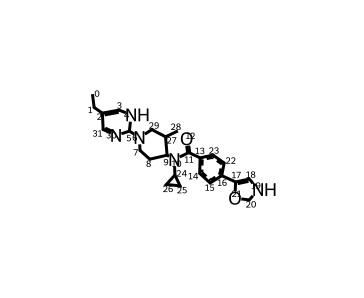 CCC1=CNC(N2CCC(N(C(=O)c3ccc(C4=CNCO4)cc3)C3CC3)C(C)C2)N=C1